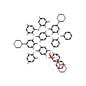 Cc1cc(C)c(N2c3cc4c(cc3B3c5ccccc5N(c5ccccc5)c5cc(C6CCCCC6)cc2c53)B2c3cc5c(cc3N(c3c(C)cc(C)cc3C)c3cc(C6CCCCC6)cc(c32)N4c2c(C)cc(C)cc2C)Nc2cc(C3CCCCC3)cc3c2B5c2ccccc2N3c2ccccc2)c(C)c1